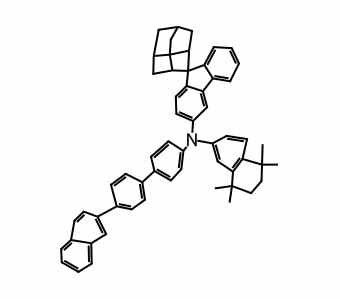 CC1(C)CCC(C)(C)c2cc(N(c3ccc(-c4ccc(-c5ccc6ccccc6c5)cc4)cc3)c3ccc4c(c3)-c3ccccc3C43C4CC5CC6CC3C64C5)ccc21